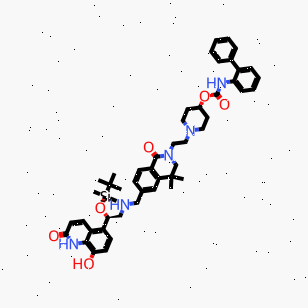 CC1(C)CN(CCN2CCC(OC(=O)Nc3ccccc3-c3ccccc3)CC2)C(=O)c2ccc(CNC[C@H](O[Si](C)(C)C(C)(C)C)c3ccc(O)c4[nH]c(=O)ccc34)cc21